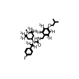 [2H]c1c([2H])c(OCC(C)C)c([2H])c([2H])c1CNC(=O)N(C1CC([2H])([2H])N(C)C([2H])([2H])C1)C([2H])([2H])c1ccc(F)cc1